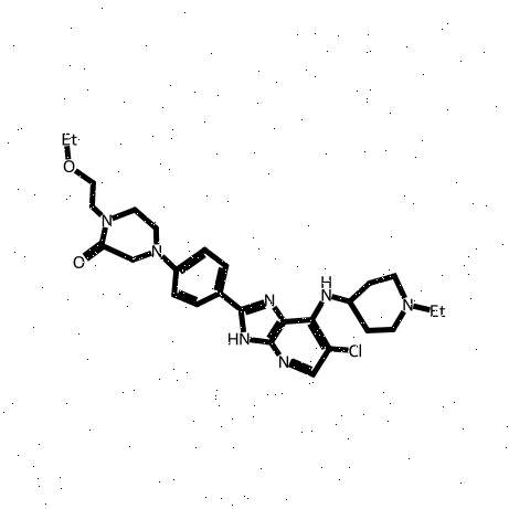 CCOCCN1CCN(c2ccc(-c3nc4c(NC5CCN(CC)CC5)c(Cl)cnc4[nH]3)cc2)CC1=O